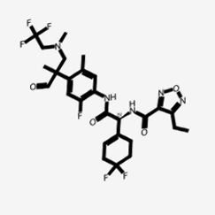 CCc1nonc1C(=O)N[C@H](C(=O)Nc1cc(C)c(C(C)(C=O)CN(C)CC(F)(F)F)cc1F)C1=CCC(F)(F)CC1